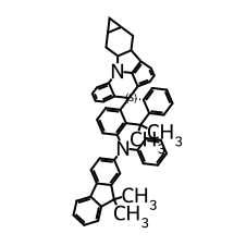 CC1(C)c2ccccc2-c2ccc(N(c3ccccc3)c3cccc4c3C(C)(C)c3ccccc3[C@@]43c4ccccc4N4c5c(cccc53)C3CC5CC5CC34)cc21